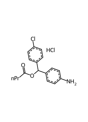 CCCC(=O)OC(c1ccc(N)cc1)c1ccc(Cl)cc1.Cl